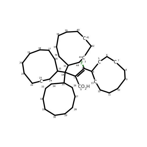 O=C(O)C(=C(F)C1CCCCCCCCC1)C(C1CCCCCCCCC1)(C1CCCCCCCCC1)C1CCCCCCCCC1